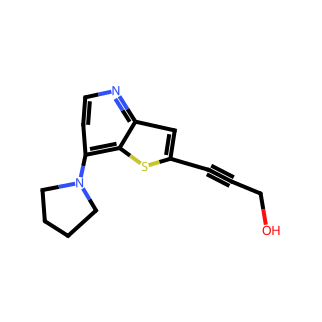 OCC#Cc1cc2nccc(N3CCCC3)c2s1